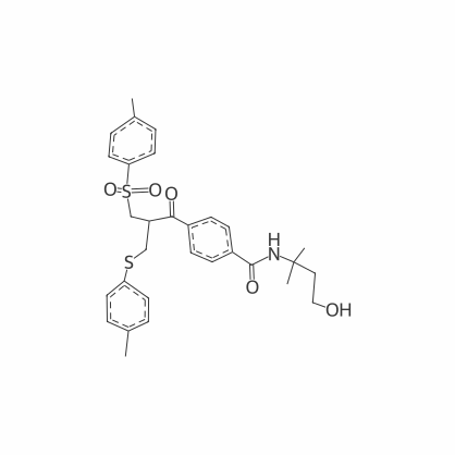 Cc1ccc(SCC(CS(=O)(=O)c2ccc(C)cc2)C(=O)c2ccc(C(=O)NC(C)(C)CCO)cc2)cc1